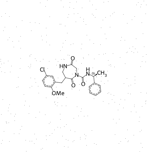 COc1ccc(Cl)cc1CC1CNC(=O)CN(C(=O)N[C@@H](C)c2ccccc2)C1=O